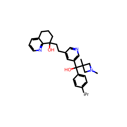 CC(C)c1ccc(C(O)(c2cncc(CCC3(O)CCCc4cccnc43)c2)C2(C)CN(C)C2)cc1